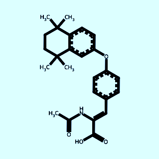 CC(=O)NC(=Cc1ccc(Oc2ccc3c(c2)C(C)(C)CCC3(C)C)cc1)C(=O)O